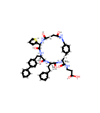 O=C(O)CCNC(=O)[C@@H]1Cc2ccc(cc2)NC(=O)CCC(=O)NC(c2cccs2)C(=O)N[C@@H](Cc2ccc(-c3ccccc3)cc2)C(=O)N[C@H](CCc2ccccc2)C(=O)N1